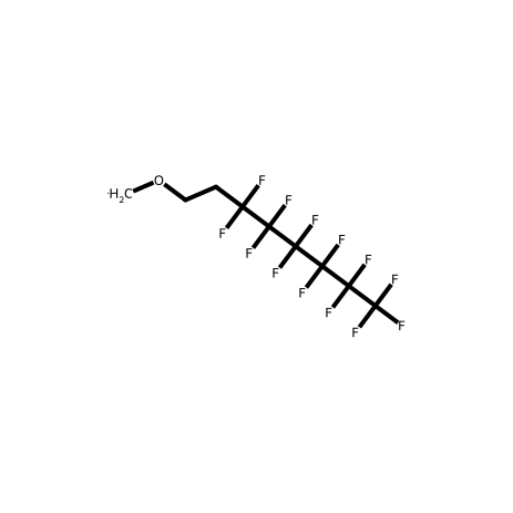 [CH2]OCCC(F)(F)C(F)(F)C(F)(F)C(F)(F)C(F)(F)C(F)(F)F